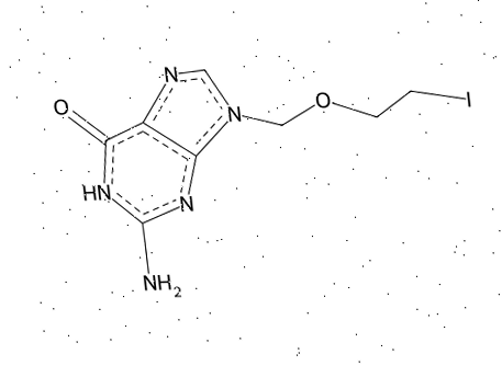 Nc1nc2c(ncn2COCCI)c(=O)[nH]1